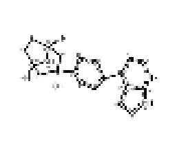 OC1(c2ccc(-c3ccnc4[nH]ccc34)cc2)C[C@H]2CC[C@@H](C1)N2